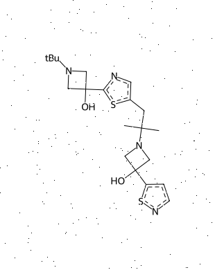 CC(C)(C)N1CC(O)(c2ncc(CC(C)(C)N3CC(O)(c4ccns4)C3)s2)C1